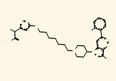 COC(=O)C(c1cc(OCCCCCCCN2CCC(n3nc(N)c4nnc(-c5ccccc5O)cc43)CC2)no1)C(C)C